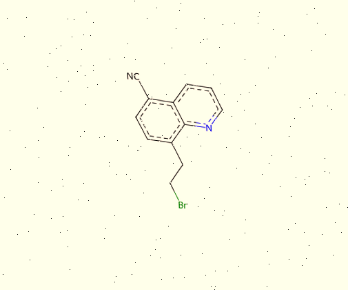 N#Cc1ccc(CCBr)c2ncccc12